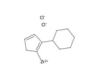 [Cl-].[Cl-].[Zr+2][C]1=C(C2CCCCC2)C=CC1